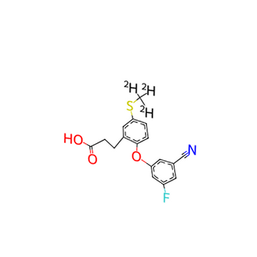 [2H]C([2H])([2H])Sc1ccc(Oc2cc(F)cc(C#N)c2)c(CCC(=O)O)c1